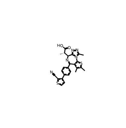 Cc1sc2c(c1C)C(c1ccc(-c3ccsc3C#N)cc1)=NC([C@H](C)C(=O)O)c1nnc(C)n1-2